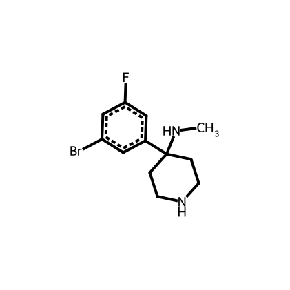 CNC1(c2cc(F)cc(Br)c2)CCNCC1